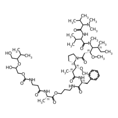 CC[C@H](C)C([C@@H](CC(=O)N1CCC[C@H]1[C@H](OC)[C@@H](C)C(=O)N[C@@H](Cc1ccccc1)C(=O)NCCCOC(=O)[C@H](C)NC(=O)CCNC(=O)OCC(O)OC(CO)C(C)C)OC)N(C)C(=O)C(NC(=O)C(C(C)C)N(C)C)C(C)C